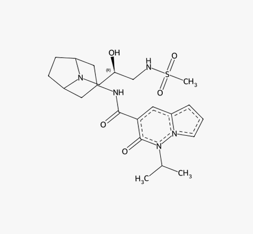 CC(C)n1c(=O)c(C(=O)NC2CC3CCC(C2)N3C[C@@H](O)CNS(C)(=O)=O)cc2cccn21